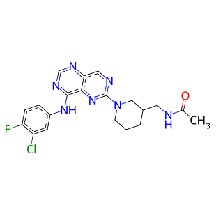 CC(=O)NCC1CCCN(c2ncc3ncnc(Nc4ccc(F)c(Cl)c4)c3n2)C1